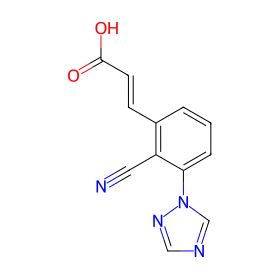 N#Cc1c(/C=C/C(=O)O)cccc1-n1cncn1